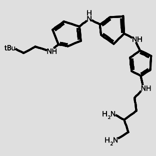 CC(C)(C)CCNc1ccc(Nc2ccc(Nc3ccc(NCCC(N)CN)cc3)cc2)cc1